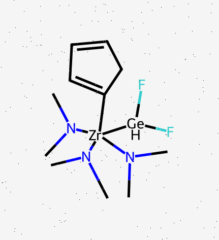 C[N](C)[Zr]([C]1=CC=CC1)([N](C)C)([N](C)C)[GeH]([F])[F]